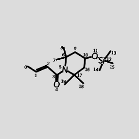 CC=CC(=O)N1C(C)(C)CC(O[Si](C)(C)C)CC1(C)C